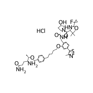 Cc1ncsc1-c1ccc(CNC(=O)[C@@H]2C[C@@H](O)CN2C(=O)[C@@H](NC(=O)C2(F)CC2)C(C)(C)C)c(OCCCCCc2ccc(CO[C@H](C)[C@@H](N)CCC(N)=O)cc2)c1.Cl